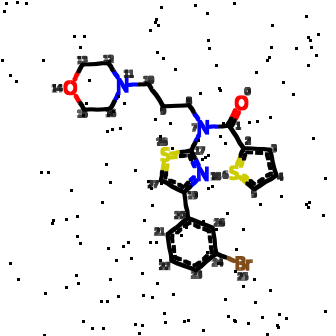 O=C(c1cccs1)N(CCCN1CCOCC1)c1nc(-c2cccc(Br)c2)cs1